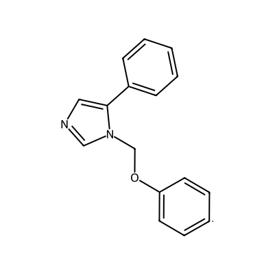 [c]1ccc(OCn2cncc2-c2ccccc2)cc1